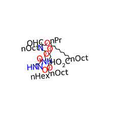 CCCCCCCCC(CCCCCCCC(OCCCCCCOC(=O)C(CCCCCC)CCCCCCCC)C(CCC)OCC(C=O)N(CCCCCCCC)CCOCCNC(=O)c1c[nH]cn1)C(=O)O